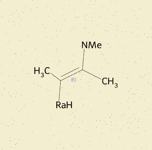 CN/C(C)=[C](\C)[RaH]